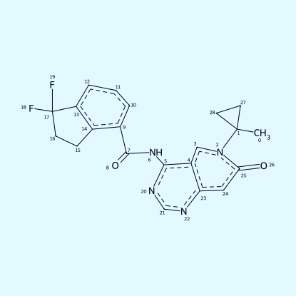 CC1(n2cc3c(NC(=O)c4cccc5c4CCC5(F)F)ncnc3cc2=O)CC1